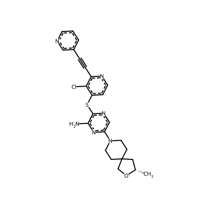 C[C@H]1CC2(CCN(c3cnc(Sc4ccnc(C#Cc5cccnc5)c4Cl)c(N)n3)CC2)CO1